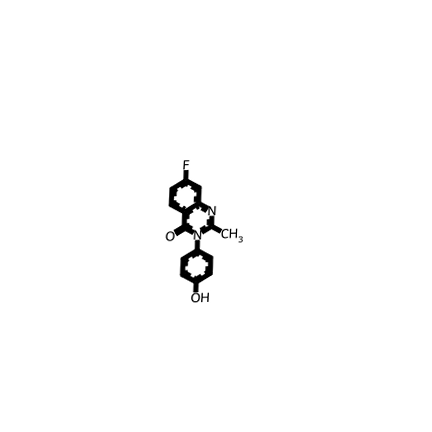 Cc1nc2cc(F)ccc2c(=O)n1-c1ccc(O)cc1